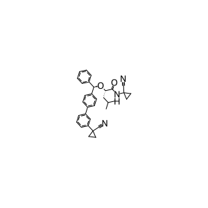 CC(C)C[C@H](O[C@H](c1ccccc1)c1ccc(-c2cccc(C3(C#N)CC3)c2)cc1)C(=O)NC1(C#N)CC1